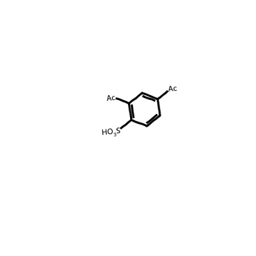 CC(=O)c1ccc(S(=O)(=O)O)c(C(C)=O)c1